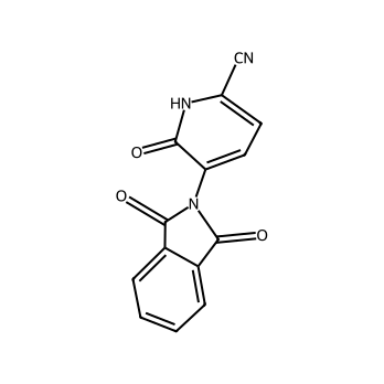 N#Cc1ccc(N2C(=O)c3ccccc3C2=O)c(=O)[nH]1